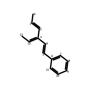 CC=CC(C=Cc1ccccc1)=CC